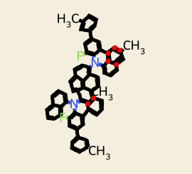 Cc1cccc(-c2cc(F)c(N(c3cccc4ccccc34)c3ccc4ccc5c(N(c6c(F)cc(-c7cccc(C)c7)cc6-c6cccc(C)c6)c6cccc7ccccc67)ccc6ccc3c4c65)c(-c3cccc(C)c3)c2)c1